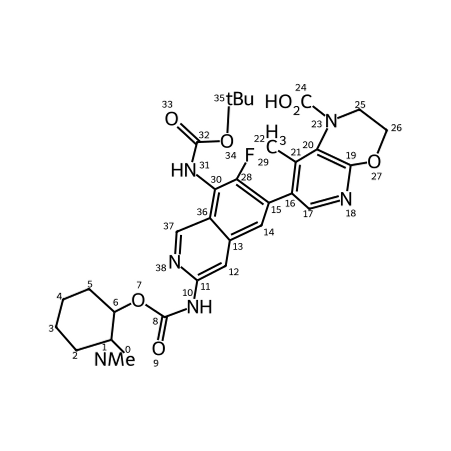 CNC1CCCCC1OC(=O)Nc1cc2cc(-c3cnc4c(c3C)N(C(=O)O)CCO4)c(F)c(NC(=O)OC(C)(C)C)c2cn1